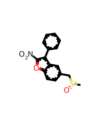 C[S+]([O-])Cc1ccc2oc([N+](=O)[O-])c(-c3ccccc3)c2c1